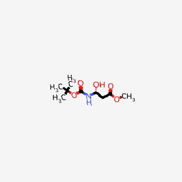 COC(=O)C[C@@H](O)NC(=O)OC(C)(C)C